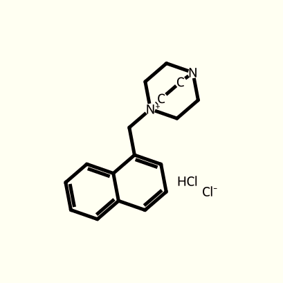 Cl.[Cl-].c1ccc2c(C[N+]34CCN(CC3)CC4)cccc2c1